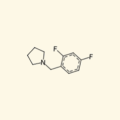 Fc1ccc(CN2CCCC2)c(F)c1